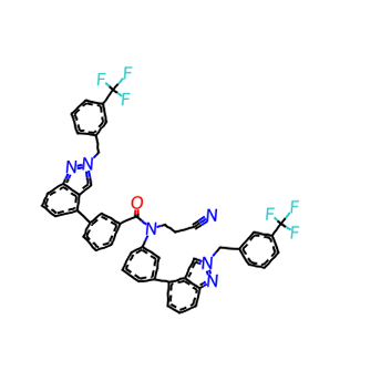 N#CCCN(C(=O)c1cccc(-c2cccc3nn(Cc4cccc(C(F)(F)F)c4)cc23)c1)c1cccc(-c2cccc3nn(Cc4cccc(C(F)(F)F)c4)cc23)c1